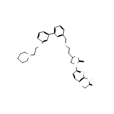 O=C1COc2ccc(N3CC(CCNCc4cccc(-c5cccc(OCCN6CCCCC6)c5)c4)OC3=O)nc2N1